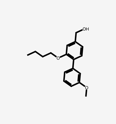 CCCCOc1cc(CO)ccc1-c1cccc(OC)c1